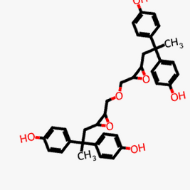 CC(CC1OC1COCC1OC1CC(C)(c1ccc(O)cc1)c1ccc(O)cc1)(c1ccc(O)cc1)c1ccc(O)cc1